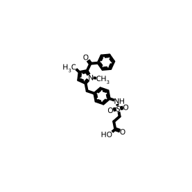 Cc1cc(Cc2ccc(NS(=O)(=O)CCC(=O)O)cc2)n(C)c1C(=O)c1ccccc1